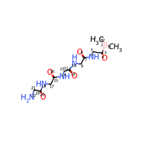 CB(C)C(=O)CNC(=O)CNC(=O)CNC(=O)CNC(=O)CN